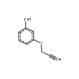 C#CCOc1cccc(C=O)c1